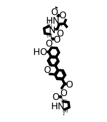 COC(=O)N[C@H](C(=O)N1[C@@H](C)CC[C@H]1C(=O)OC1CCc2cc3c(cc2C1O)OCc1cc(C(=O)COC(=O)[C@@H]2CC[C@H](C)N2)ccc1-3)C(C)C